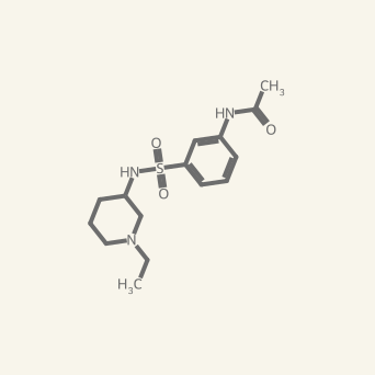 CCN1CCCC(NS(=O)(=O)c2cccc(NC(C)=O)c2)C1